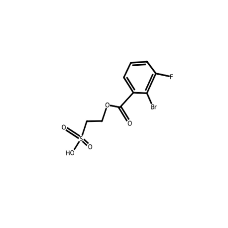 O=C(OCCS(=O)(=O)O)c1cccc(F)c1Br